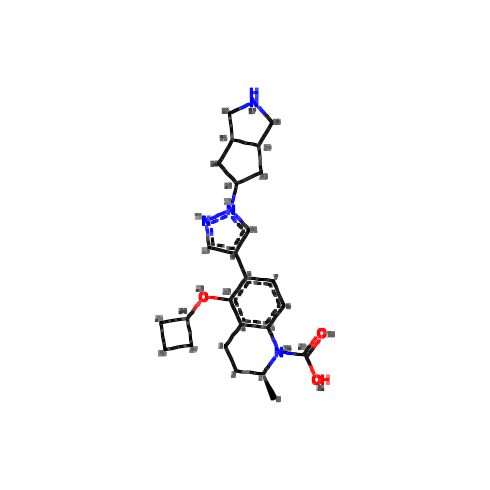 C[C@H]1CCc2c(ccc(-c3cnn(C4CC5CNCC5C4)c3)c2OC2CCC2)N1C(=O)O